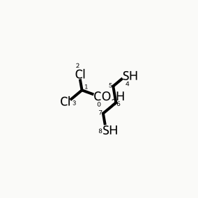 O=C(O)C(Cl)Cl.SCCCS